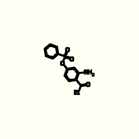 CCC(=O)c1ccc(OS(=O)(=O)c2ccccc2)cc1N